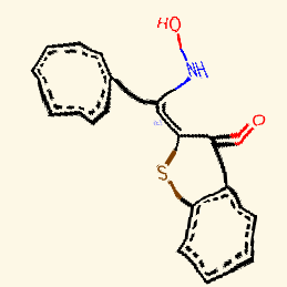 O=C1/C(=C(\NO)c2ccccc2)Sc2ccccc21